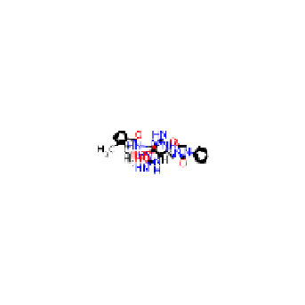 Cc1cccc(C(=O)N[C@H]2CN3C(=N)N[C@@H](CN4C(=O)CN(c5ccccc5)C4=O)[C@@H]4NC(=N)N[C@@]43C2(O)O)c1C